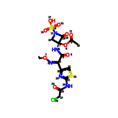 CON=C(C(=O)N[C@]1(OC(C)=O)CN(S(=O)(=O)O)C1=O)c1csc(NC(=O)CCl)n1